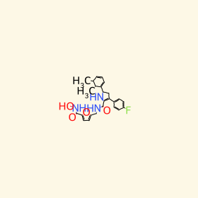 CC1C=CC=C(C2CC(c3ccc(F)cc3)=C(C(=O)NCc3ccc(C(=O)NO)o3)N2)C1C